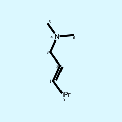 CC(C)/C=C/CN(C)C